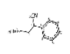 CCCCCCCC(C#N)c1ccccc1